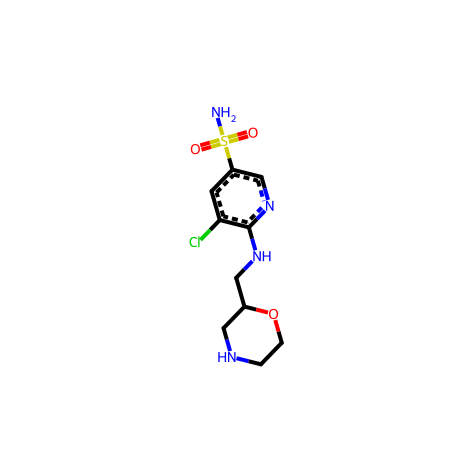 NS(=O)(=O)c1cnc(NCC2CNCCO2)c(Cl)c1